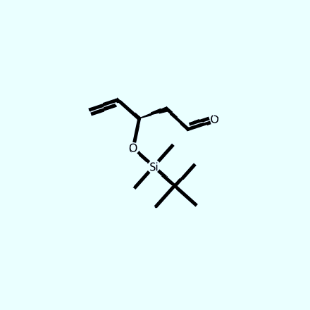 C=C[C@@H](CC=O)O[Si](C)(C)C(C)(C)C